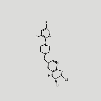 CCc1cc2ncc(CN3CCN(c4ncc(F)cc4F)CC3)cc2[nH]c1=O